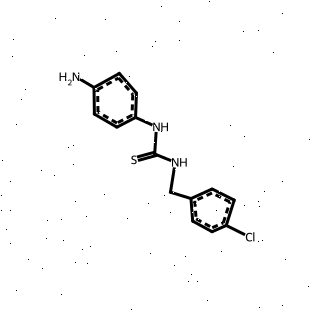 Nc1ccc(NC(=S)NCc2ccc(Cl)cc2)cc1